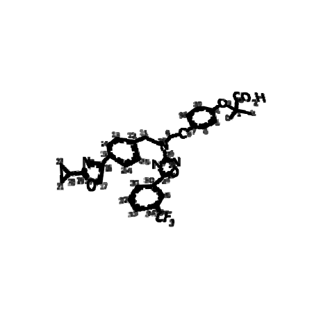 CC(C)(Oc1ccc(CCN(Cc2ccc(-c3coc(C4CC4)n3)cc2)c2noc(-c3cccc(C(F)(F)F)c3)n2)cc1)C(=O)O